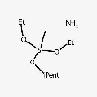 CCCC(C)O[Si](C)(OCC)OCC.N